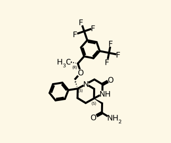 C[C@@H](OC[C@@]1(c2ccccc2)CC[C@]2(CC(N)=O)CN1CC(=O)N2)c1cc(C(F)(F)F)cc(C(F)(F)F)c1